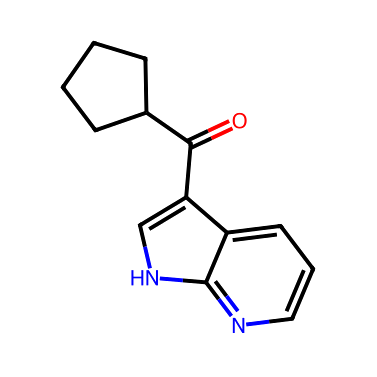 O=C(c1c[nH]c2ncccc12)C1CCCC1